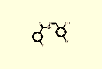 O=C(N/N=C\c1ccc(Br)cc1O)c1cccc(F)c1